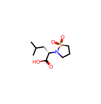 CC(C)C[C@@H](C(=O)O)N1CCCS1(=O)=O